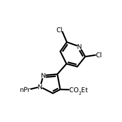 CCCn1cc(C(=O)OCC)c(-c2cc(Cl)nc(Cl)c2)n1